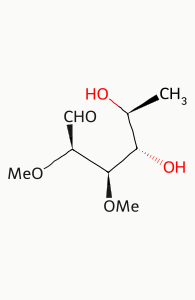 CO[C@H]([C@@H](O)[C@H](C)O)[C@H](C=O)OC